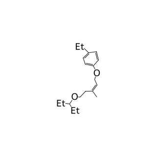 CCc1ccc(OCC=C(C)CCOC(CC)CC)cc1